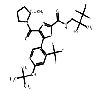 C[C@H]1CCCN1C(=O)c1nc(C(=O)NCC(C)(O)C(F)(F)F)sc1-c1cnc(NC(C)(C)C)cc1C(F)(F)F